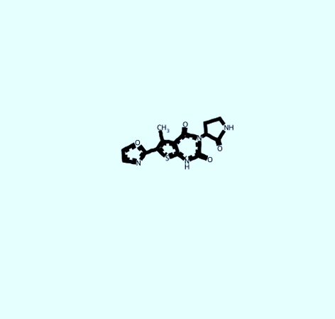 Cc1c(-c2ncco2)sc2[nH]c(=O)n(C3CCNC3=O)c(=O)c12